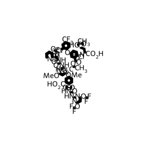 CCS(=O)(=O)c1cccnc1S(=O)(=O)NC(=O)Nc1nc(OC)cc(OC)n1.CP(=O)(O)CCC(N)C(=O)O.C[C@H](OC(=O)c1cc(Oc2ccc(C(F)(F)F)cc2Cl)ccc1Cl)C(=O)O.O=C(Nc1nc(OC(F)F)cc(OC(F)F)n1)NS(=O)(=O)c1ccccc1C(=O)O